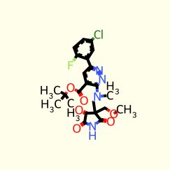 COCC1(CN(C)c2nnc(-c3cc(Cl)ccc3F)cc2C(=O)OC(C)(C)C)C(=O)NC(=O)C1=O